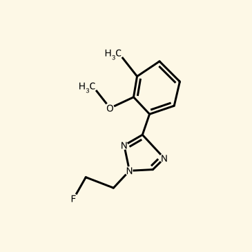 COc1c(C)cccc1-c1ncn(CCF)n1